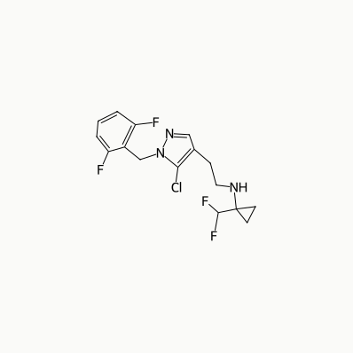 Fc1cccc(F)c1Cn1ncc(CCNC2(C(F)F)CC2)c1Cl